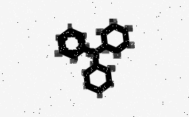 [c]1ccc(N(C2CCCCC2)C2CCCCC2)cc1